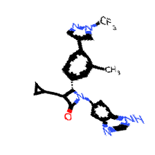 Cc1cc([C@H]2C(C3CC3)C(=O)N2c2ccc3[nH]cnc3c2)ccc1-c1cnn(C(F)(F)F)c1